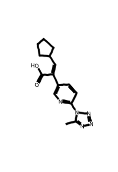 Cc1nnnn1-c1ccc(C(=CC2CCCC2)C(=O)O)cn1